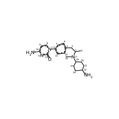 CC(Cc1ccc(-n2ccc(N)nc2=O)cc1)N(C)C1CCC(N)CC1